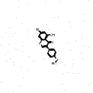 O=c1c(-c2ccc(OO)cc2)coc2cc(O)cc(O)c12